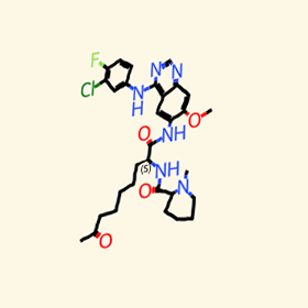 COc1cc2ncnc(Nc3ccc(F)c(Cl)c3)c2cc1NC(=O)[C@H](CCCCCC(C)=O)NC(=O)C1CCCCN1C